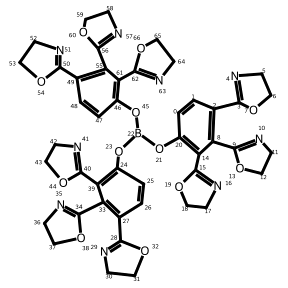 c1cc(C2=NCCO2)c(C2=NCCO2)c(C2=NCCO2)c1OB(Oc1ccc(C2=NCCO2)c(C2=NCCO2)c1C1=NCCO1)Oc1ccc(C2=NCCO2)c(C2=NCCO2)c1C1=NCCO1